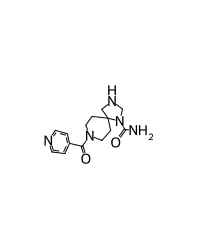 NC(=O)N1CNCC12CCN(C(=O)c1ccncc1)CC2